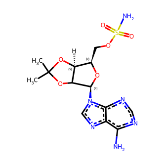 CC1(C)OC2[C@@H](O1)[C@@H](COS(N)(=O)=O)O[C@H]2n1cnc2c(N)ncnc21